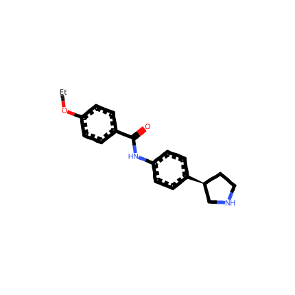 CCOc1ccc(C(=O)Nc2ccc([C@H]3CCNC3)cc2)cc1